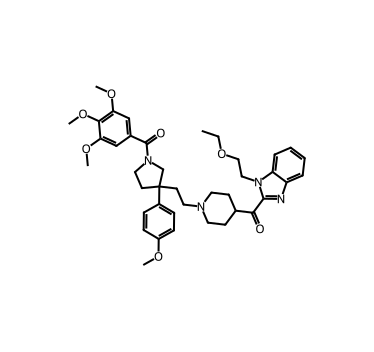 CCOCCn1c(C(=O)C2CCN(CCC3(c4ccc(OC)cc4)CCN(C(=O)c4cc(OC)c(OC)c(OC)c4)C3)CC2)nc2ccccc21